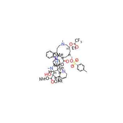 CC[C@]1(OC(=O)C(F)(F)F)C[C@H](COS(=O)(=O)c2ccc(C)cc2)C[C@](C(=O)OC)(c2cc3c(cc2OC)N(C)[C@H]2C(O)(C(=O)OC)[C@H](OC(C)=O)[C@]4(CC)C=CCN5CCC32[C@@H]54)c2[nH]c3ccccc3c2CCN(C)C1